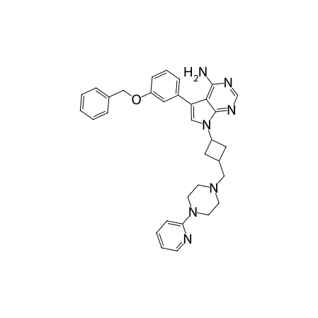 Nc1ncnc2c1c(-c1cccc(OCc3ccccc3)c1)cn2C1CC(CN2CCN(c3ccccn3)CC2)C1